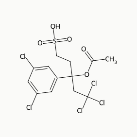 CC(=O)OC(CCS(=O)(=O)O)(CC(Cl)(Cl)Cl)c1cc(Cl)cc(Cl)c1